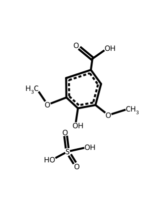 COc1cc(C(=O)O)cc(OC)c1O.O=S(=O)(O)O